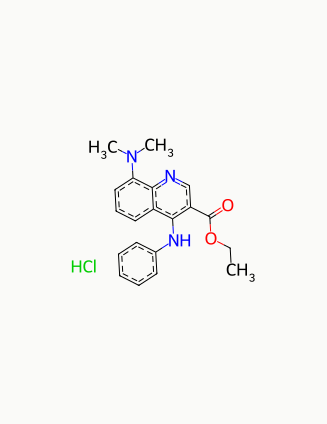 CCOC(=O)c1cnc2c(N(C)C)cccc2c1Nc1ccccc1.Cl